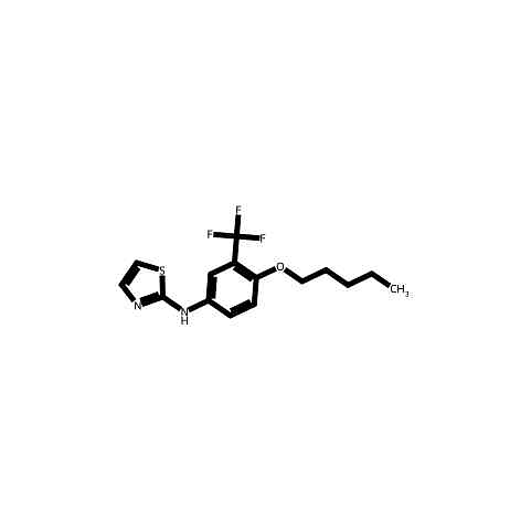 CCCCCOc1ccc(Nc2nccs2)cc1C(F)(F)F